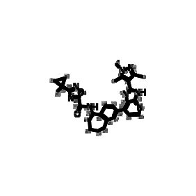 Cc1nn(C)c(C)c1-c1nc2c(-c3ccc4c(c3)CCCC[C@H]4NC(=O)c3nc(C4(C)CC4)no3)ccnc2[nH]1